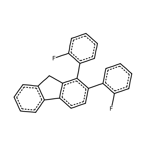 Fc1ccccc1-c1ccc2c(c1-c1ccccc1F)Cc1ccccc1-2